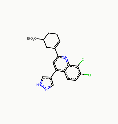 CCOC(=O)C1CCC=C(c2cc(-c3cn[nH]c3)c3ccc(Cl)c(Cl)c3n2)C1